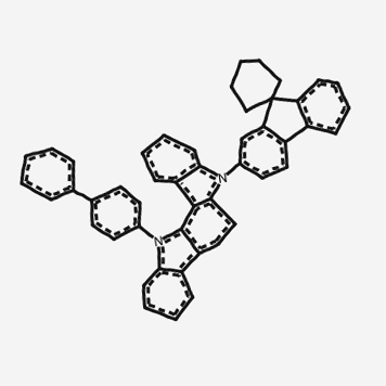 c1ccc(-c2ccc(-n3c4ccccc4c4ccc5c(c6ccccc6n5-c5ccc6c(c5)C5(CCCCC5)c5ccccc5-6)c43)cc2)cc1